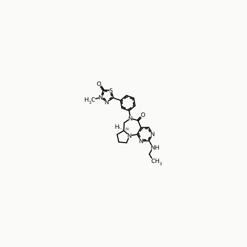 CCNc1ncc2c(n1)N1CCC[C@H]1CN(c1cccc(-c3nn(C)c(=O)s3)c1)C2=O